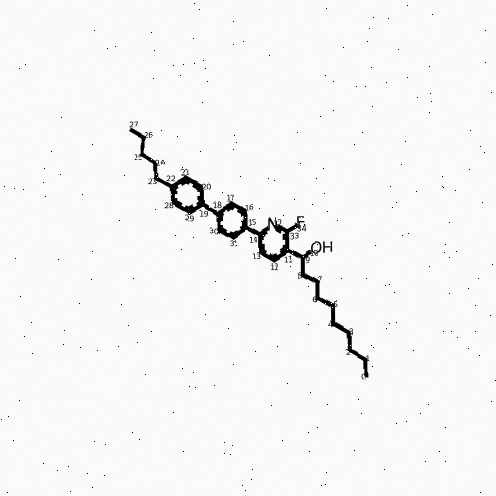 CCCCCCCCCC(O)c1ccc(-c2ccc(-c3ccc(CCCCC)cc3)cc2)nc1F